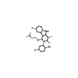 CCc1ccc(F)cc1-c1c(C)c(C)c2[nH]c3ccc(F)cc3c2c1OCCN(C)C